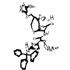 CON=C(C(=O)NC1C(=O)N2C(C(=O)O)=C(CSc3nnsc3C(C)(C)C)CSC12)c1csc(NC(c2ccccc2)(c2ccccc2)c2ccccc2)n1